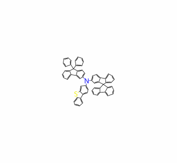 c1ccc(C2(c3ccccc3)c3ccccc3-c3cc(N(c4ccc5c(c4)C4(c6ccccc6-c6ccccc64)c4ccccc4-5)c4ccc5c(c4)sc4ccccc45)ccc32)cc1